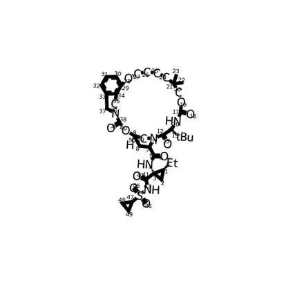 CC[C@H]1C[C@@]1(NC(=O)C1C[C@@H]2CN1C(=O)[C@H](C(C)(C)C)NC(=O)OCC(C)(C)CCCCOc1cccc3c1CN(C3)C(=O)O2)C(=O)NS(=O)(=O)C1CC1